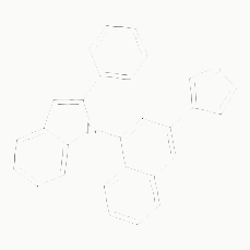 c1ccc(-c2cc3ccccc3n2-c2cc(-c3ccsc3)cc3ccccc23)cc1